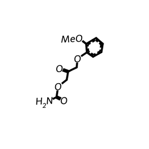 COc1ccccc1OCC(=O)COC(N)=O